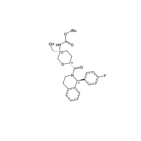 CC(C)(C)OC(=O)N[C@@]1(CO)CC[C@H](C(=O)N2CCc3ccccc3[C@@H]2c2ccc(F)cc2)OC1